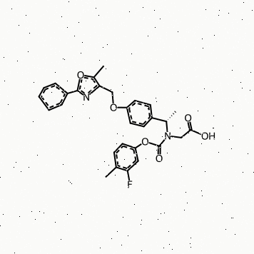 Cc1ccc(OC(=O)N(CC(=O)O)[C@@H](C)c2ccc(OCc3nc(-c4ccccc4)oc3C)cc2)cc1F